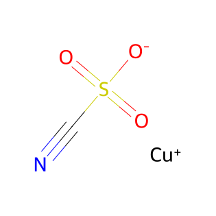 N#CS(=O)(=O)[O-].[Cu+]